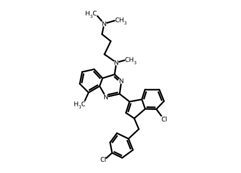 Cc1cccc2c(N(C)CCCN(C)C)nc(C3=CC(Cc4ccc(Cl)cc4)c4c(Cl)cccc43)nc12